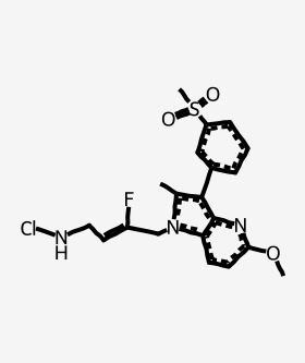 COc1ccc2c(n1)c(-c1cccc(S(C)(=O)=O)c1)c(C)n2C/C(F)=C/CNCl